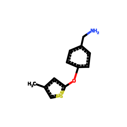 Cc1csc(Oc2ccc(CN)cc2)c1